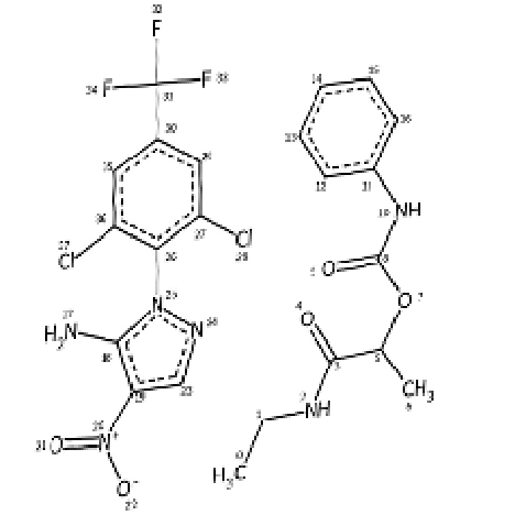 CCNC(=O)C(C)OC(=O)Nc1ccccc1.Nc1c([N+](=O)[O-])cnn1-c1c(Cl)cc(C(F)(F)F)cc1Cl